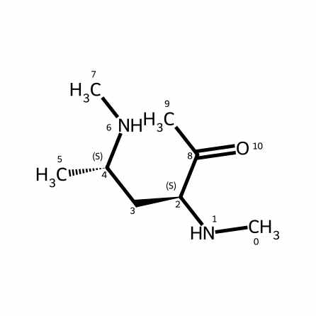 CN[C@@H](C[C@H](C)NC)C(C)=O